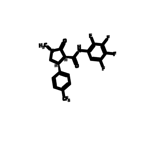 CN1C[C@@H](c2ccc(C(F)(F)F)cc2)[C@H](C(=O)Nc2cc(F)c(F)c(F)c2F)C1=O